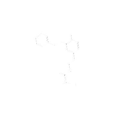 COc1ccc(CCNC(=O)N(C)O)cc1OCc1ccccc1